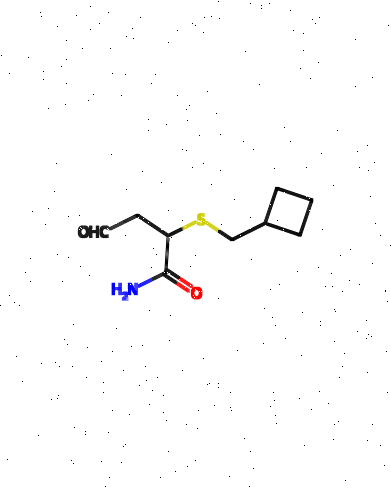 NC(=O)C(CC=O)SCC1CCC1